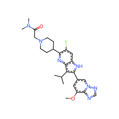 COc1cc(-c2[nH]c3cc(F)c(C4CCN(CC(=O)N(C)C)CC4)nc3c2C(C)C)cn2ncnc12